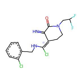 N=C1C(=O)N(CC(F)F)CC/C1=C(\Cl)NCc1ccccc1Cl